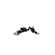 CN(CCCN(C)CCN1C(=O)c2cccc3c(N4CCN(C(=O)OC(C)(C)C)CC4)ccc(c23)C1=O)CCN1C(=O)c2cccc3c(N4CCNCC4)ccc(c23)C1=O